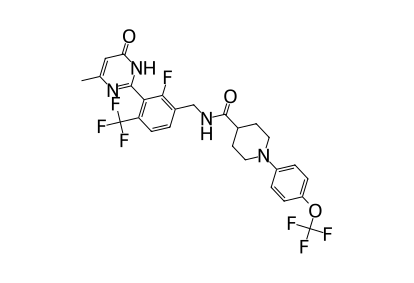 Cc1cc(=O)[nH]c(-c2c(C(F)(F)F)ccc(CNC(=O)C3CCN(c4ccc(OC(F)(F)F)cc4)CC3)c2F)n1